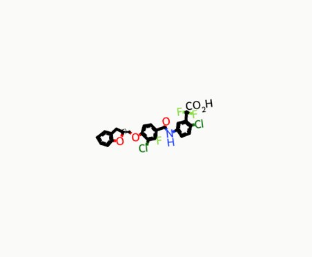 O=C(Nc1ccc(Cl)c(C(F)(F)C(=O)O)c1)c1ccc(OC[C@@H]2Cc3ccccc3O2)c(Cl)c1F